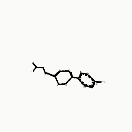 CC(C)CCC1CCC(c2ccc(F)cc2)CC1